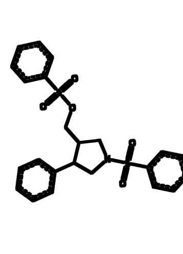 O=S(=O)(OCC1CN(S(=O)(=O)c2ccccc2)CC1c1ccccc1)c1ccccc1